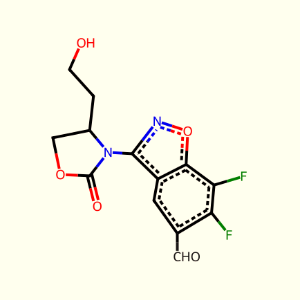 O=Cc1cc2c(N3C(=O)OCC3CCO)noc2c(F)c1F